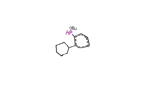 CCCCPc1ccccc1C1CCCCC1